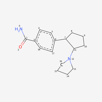 NC(=O)c1ccc(C2CCCC2N2CCCC2)cc1